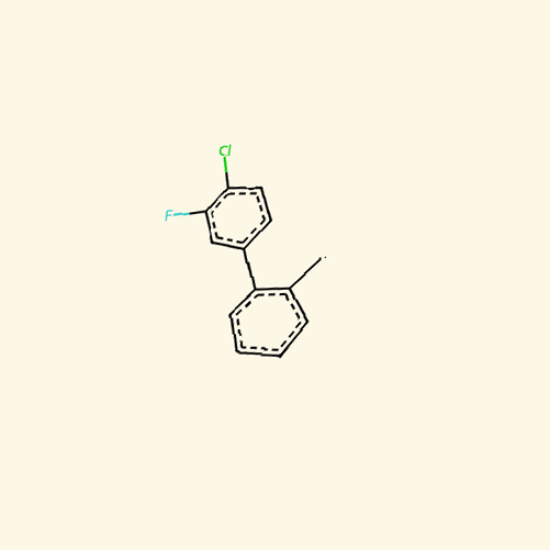 [CH2]c1ccccc1-c1ccc(Cl)c(F)c1